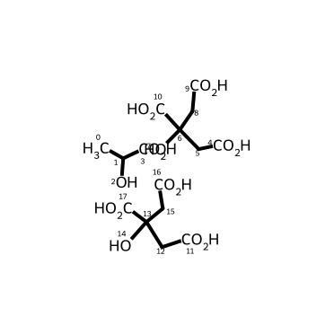 CC(O)C(=O)O.O=C(O)CC(O)(CC(=O)O)C(=O)O.O=C(O)CC(O)(CC(=O)O)C(=O)O